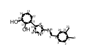 Cc1ccc(C=Nc2nnc(-c3cccc(O)c3O)s2)cc1C